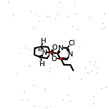 CCCCOC(=O)N1[C@@H]2CC[C@H]1CN(c1ccnc(Cl)n1)C2